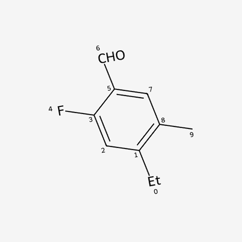 CCc1cc(F)c(C=O)cc1C